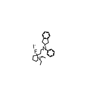 CC[N+]1(CC)CCCC1(F)CCN(c1ccccc1)C1Cc2ccccc2C1.[I-]